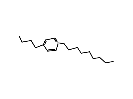 CCCCCCCCC[n+]1ccc(CCCC)cc1